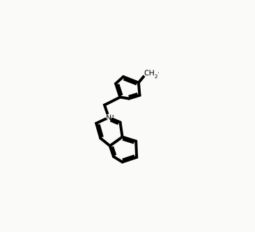 [CH2]c1ccc(C[n+]2ccc3ccccc3c2)cc1